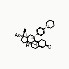 C#C[C@]1(C(C)=O)CC[C@H]2[C@@H]3CCC4=CC(=O)CCC4=C3[C@@H](c3ccc(N4CCCCC4)cc3)C[C@@]21C